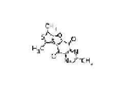 Cc1cnc2c(n1)C(=O)c1oc3c(C)sc(C)c3c1C2=O